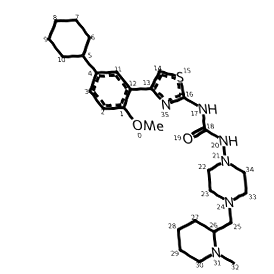 COc1ccc(C2CCCCC2)cc1-c1csc(NC(=O)NN2CCN(CC3CCCCN3C)CC2)n1